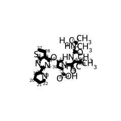 CC(C)(C)NC(=O)NC(C(=O)N1C[C@H](Oc2nc(-c3ccccn3)nc3sccc23)C[C@H]1C(=O)O)C(C)(C)C